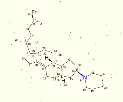 CC(C)[C@@H](C)CC[C@@H](C)[C@H]1CCC2=C3CC[C@H]4C[C@H](N5CCCCC5)CC[C@]4(C)[C@H]3CC[C@@]21C